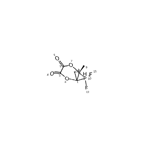 CC12OC(=O)C(=O)O[C@]1(C)[PH]2(F)F